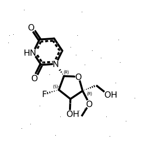 CO[C@]1(CO)O[C@@H](n2ccc(=O)[nH]c2=O)[C@@H](F)C1O